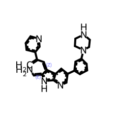 C=C(/C=c1\c(=C/N)[nH]c2ncc(-c3cccc(N4CCNCC4)c3)cc12)c1cccnc1